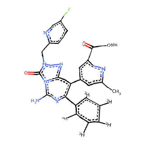 [2H]c1c([2H])c([2H])c(-c2nc(N)n3c(=O)n(Cc4ccc(F)cn4)nc3c2-c2cc(C)nc(C(=O)OC)c2)c([2H])c1[2H]